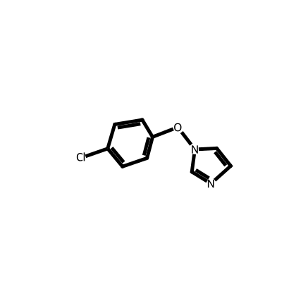 Clc1ccc(On2ccnc2)cc1